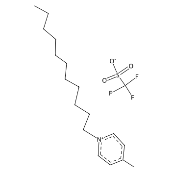 CCCCCCCCCCC[n+]1ccc(C)cc1.O=S(=O)([O-])C(F)(F)F